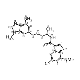 CNc1nc(Cl)cn2c(C(=O)NC(C)COCc3cc(N)c4nnn(C)c4c3)cnc12